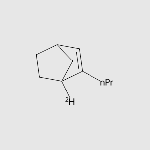 [2H]C12CCC(C=C1CCC)C2